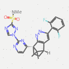 CNS(=O)(=O)c1ncn(-c2nccc([C@]34CC[C@@H](c5cc(-c6c(F)cccc6F)nnc53)C4(C)C)n2)n1